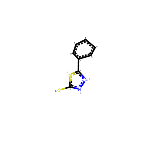 [S]c1nnc(-c2ccccc2)s1